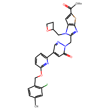 COC(=O)c1cc2c(nc(Cn3ncc(-c4cccc(OCc5ccc(C#N)cc5F)n4)cc3=O)n2CC2CCO2)s1